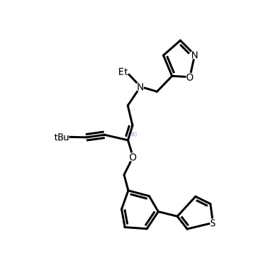 CCN(C/C=C(\C#CC(C)(C)C)OCc1cccc(-c2ccsc2)c1)Cc1ccno1